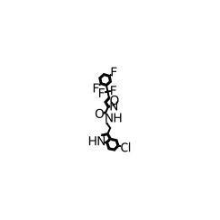 O=C(NCCc1c[nH]c2ccc(Cl)cc12)c1cc(C(F)(F)c2cc(F)ccc2F)on1